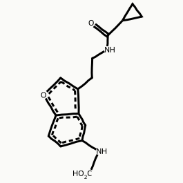 O=C(O)Nc1ccc2occ(CCNC(=O)C3CC3)c2c1